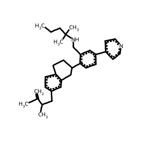 C=C(C)C(C)Cc1ccc2c(c1)CC(c1ccc(-c3ccncc3)cc1CNC(C)(C)CCC)CC2